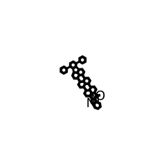 O=c1c2ccc3c4ccc5c6ccc7c8c(ccc(c9ccc(c%10ccc(c2c3%10)c2nc3ccccc3n12)c4c59)c86)-c1c(-c2ccccc2)ccc(-c2ccccc2)c1-7